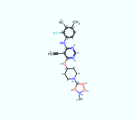 C#Cc1c(Nc2ccc(C)c(C#N)c2F)ncnc1OC1CCN(C2OON(C(C)C)O2)CC1